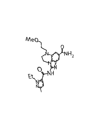 CCn1nc(C)cc1C(=O)Nc1nc2cc(C(N)=O)cc3c2n1CCN3CCCOC